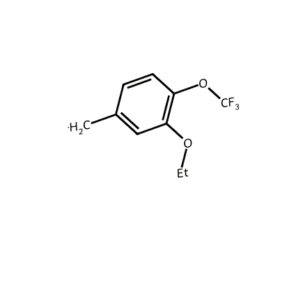 [CH2]c1ccc(OC(F)(F)F)c(OCC)c1